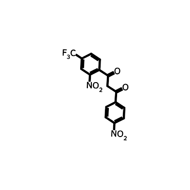 O=C(CC(=O)c1ccc(C(F)(F)F)cc1[N+](=O)[O-])c1ccc([N+](=O)[O-])cc1